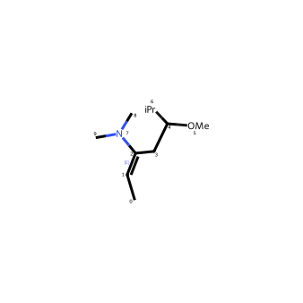 C/C=C(\CC(OC)C(C)C)N(C)C